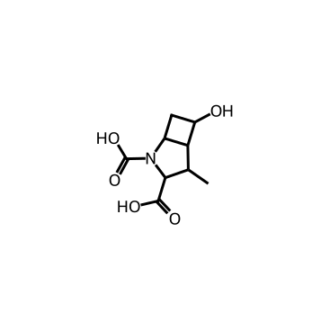 CC1C2C(O)CC2N(C(=O)O)C1C(=O)O